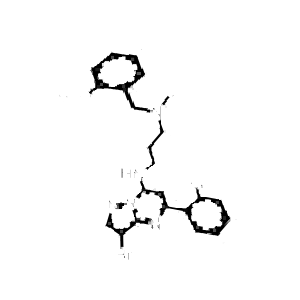 COc1ccccc1CN(C)CCCNc1cc(-c2ccccc2Cl)nc2c(Br)cnn12